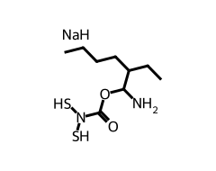 CCCCC(CC)C(N)OC(=O)N(S)S.[NaH]